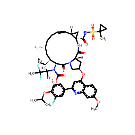 CC[C@@H]1C[C@H](C)CC/C=C\[C@@H]2C[C@@]2(C(=O)NS(=O)(=O)C2(C)CC2)NC(=O)[C@@H]2C[C@@H](Oc3cc(-c4ccc(OC(C)C)c(F)c4)nc4cc(OC)ccc34)CN2C(=O)[C@H]1N(C(=O)O)C(C)(C)C(C)(F)F